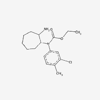 CCOC(=O)N(c1ccc(C)c(Cl)c1)C1CCCCCC1N